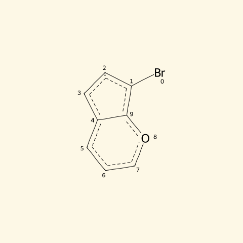 Brc1[c]cc2cccoc1-2